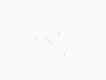 Cn1nc(CCC(C)(F)C(F)(F)F)c2ncc(F)cc21